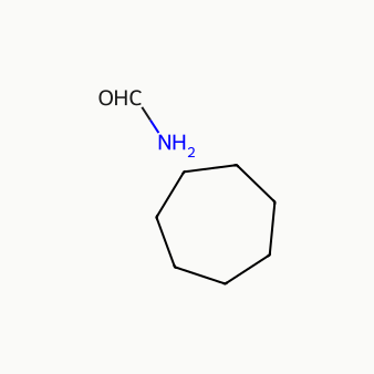 C1CCCCCC1.NC=O